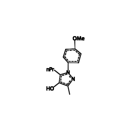 CCCc1c(O)c(C)nn1-c1ccc(OC)cc1